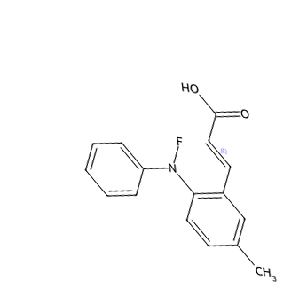 Cc1ccc(N(F)c2ccccc2)c(/C=C/C(=O)O)c1